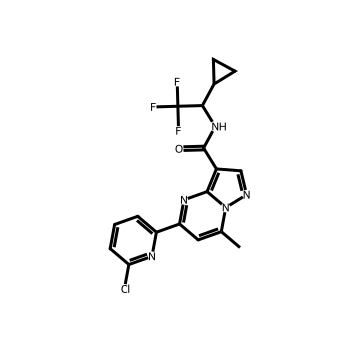 Cc1cc(-c2cccc(Cl)n2)nc2c(C(=O)NC(C3CC3)C(F)(F)F)cnn12